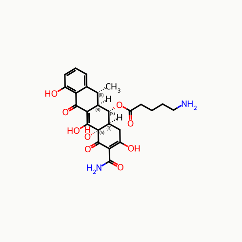 C[C@H]1c2cccc(O)c2C(=O)C2=C(O)[C@]3(O)C(=O)C(C(N)=O)=C(O)C[C@@H]3[C@@H](OC(=O)CCCCN)[C@@H]21